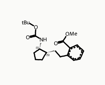 COC(=O)c1ccccc1CC[C@@H]1CCC[C@@H]1NC(=O)OC(C)(C)C